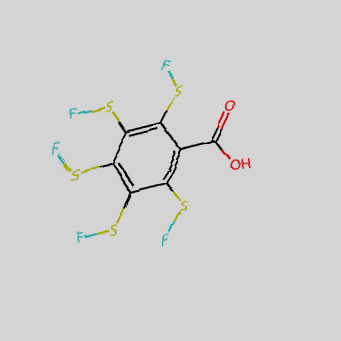 O=C(O)c1c(SF)c(SF)c(SF)c(SF)c1SF